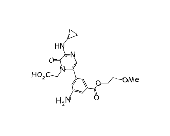 COCCOC(=O)c1cc(N)cc(-c2cnc(NC3CC3)c(=O)n2CC(=O)O)c1